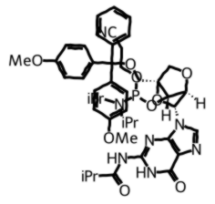 COc1ccc(C(OC[C@@]23CO[C@@H]([C@H](n4cnc5c(=O)[nH]c(NC(=O)C(C)C)nc54)O2)[C@@H]3OP(OCCC#N)N(C(C)C)C(C)C)(c2ccccc2)c2ccc(OC)cc2)cc1